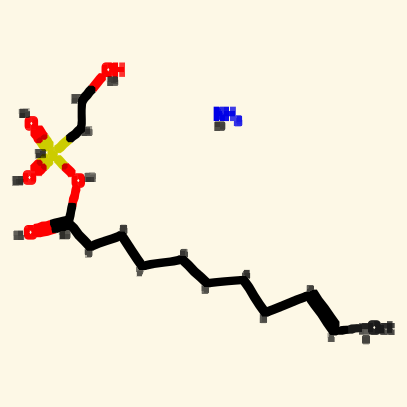 CCCCCCCCC=CCCCCCCCC(=O)OS(=O)(=O)CCO.N